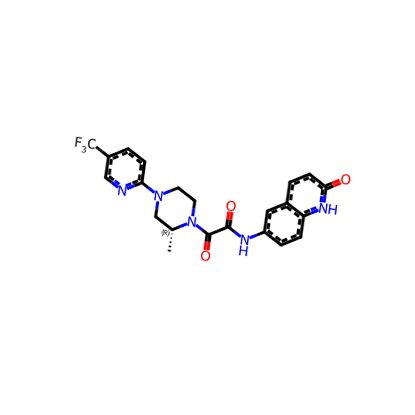 C[C@@H]1CN(c2ccc(C(F)(F)F)cn2)CCN1C(=O)C(=O)Nc1ccc2[nH]c(=O)ccc2c1